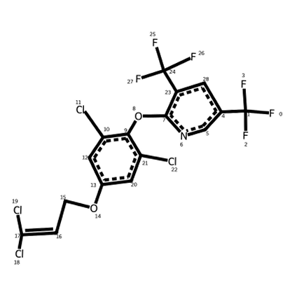 FC(F)(F)c1cnc(Oc2c(Cl)cc(OCC=C(Cl)Cl)cc2Cl)c(C(F)(F)F)c1